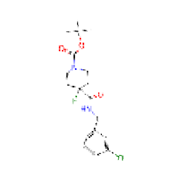 CC(C)(C)OC(=O)N1CCC(F)(C(=O)NCc2cccc(Cl)c2)CC1